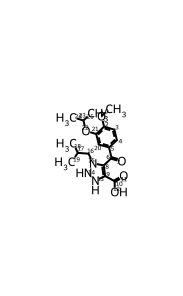 COc1ccc(C(=O)C2=C(C(=O)O)NNN2CC(C)C)cc1OC(C)C